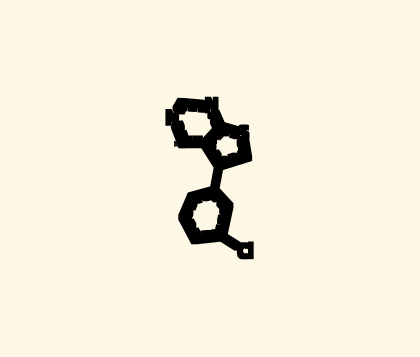 Clc1cccc(-c2csc3ncn[c]c23)c1